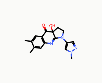 Cc1cc2c(cc1C)C(=O)C1(O)CCN(c3cnn(C)c3)C1=N2